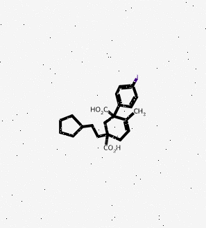 CC1=CCC(CCC2CCCC2)(C(=O)O)CC1(C(=O)O)c1ccc(I)cc1